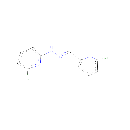 Clc1cccc(NN=Cc2cccc(Br)n2)n1